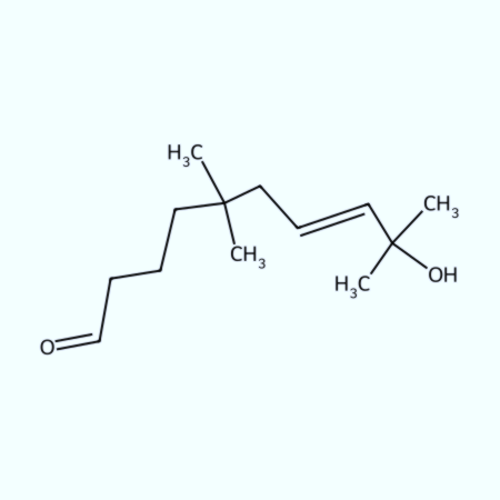 CC(C)(O)C=CCC(C)(C)CCCC=O